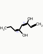 C=C/C(O)=C\C(O)=C/CC